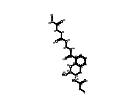 CCC(=O)N[C@H]1Cc2cccc(C(=O)OCOC(=O)CCC(=O)OC)c2OB1O